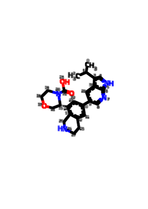 CC(C)c1c[nH]c2ncc(-c3cc4c(c([C@@H]5COCCN5C(=O)O)c3)CNCC4)cc12